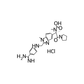 CN(C(=O)O)[C@@](C)(C(=O)N1CCCC1)c1ccc2c(c1)nc(CNc1ccc(C(=N)N)cc1)n2C.Cl